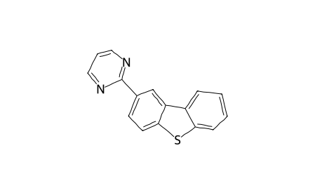 c1cnc(-c2ccc3sc4ccccc4c3c2)nc1